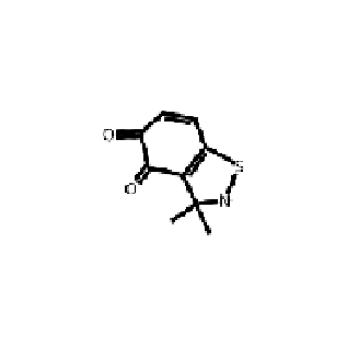 CC1(C)[N]SC2=C1C(=O)C(=O)C=C2